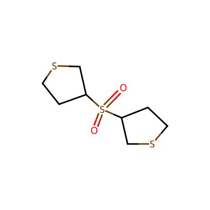 O=S(=O)(C1CCSC1)C1CCSC1